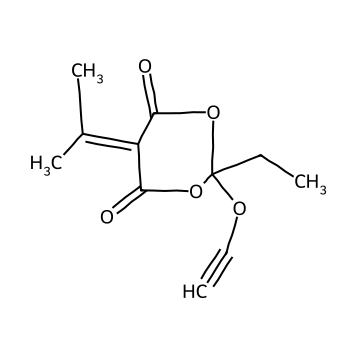 C#COC1(CC)OC(=O)C(=C(C)C)C(=O)O1